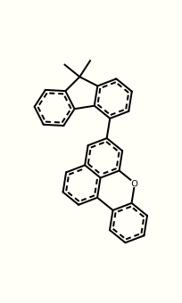 CC1(C)c2ccccc2-c2c(-c3cc4c5c(cccc5c3)-c3ccccc3O4)cccc21